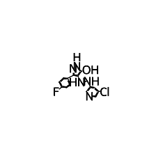 Oc1[nH]nc(-c2ccc(F)cc2)c1NNc1cncc(Cl)c1